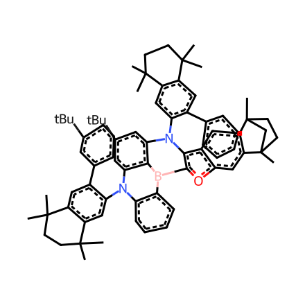 CC(C)(C)c1cccc(-c2cc3c(cc2N2c4ccccc4B4c5oc6cc7c(cc6c5N(c5cc6c(cc5-c5ccccc5)C(C)(C)CCC6(C)C)c5cc(C(C)(C)C)cc2c54)C2(C)CCC7(C)C2)C(C)(C)CCC3(C)C)c1